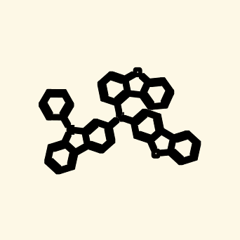 c1ccc(-n2c3ccccc3c3ccc(N(c4ccc5c(c4)oc4ccccc45)c4cccc5oc6ccccc6c45)cc32)cc1